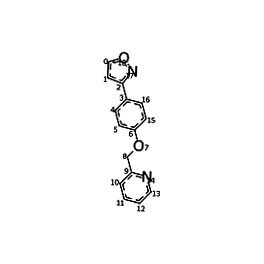 [c]1cc(-c2ccc(OCc3ccccn3)cc2)no1